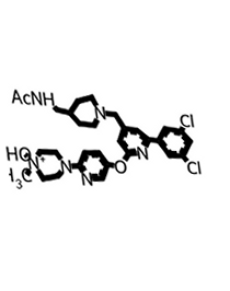 CC(=O)NCC1CCN(Cc2cc(Oc3ccc(N4CC[N+](C)(O)CC4)nc3)nc(-c3cc(Cl)cc(Cl)c3)c2)CC1